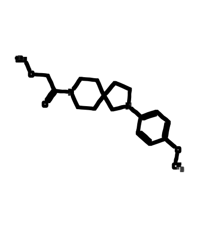 CC(C)(C)OCC(=O)N1CCC2(CC1)CCN(c1ccc(OC(F)(F)F)cc1)C2